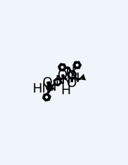 O=C(N[C@@H]1CN(Cc2ccccc2)[C@@H](c2ccccc2)CN(CC2CC2)C1=O)N1CCC(n2cc(-c3ccccc3)[nH]c2=O)CC1